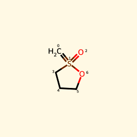 C=S1(=O)CCCO1